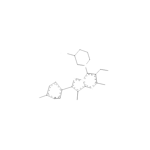 Cc1nc2c(C)c(-c3ccc(Cl)cc3)nn2c(N2CCCC(C(=O)O)C2)c1CC(F)(F)F